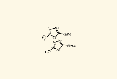 CSc1nnc(C(F)(F)F)s1.CSc1nnc(C(F)(F)F)s1